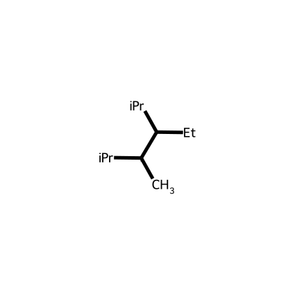 CCC([C](C)C(C)C)C(C)C